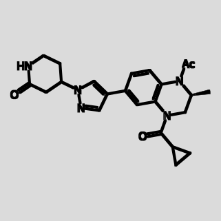 CC(=O)N1c2ccc(-c3cnn(C4CCNC(=O)C4)c3)cc2N(C(=O)C2CC2)C[C@@H]1C